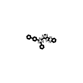 c1ccc(-c2ccc(-c3nc(-c4ccccc4)nc(-c4ncnc5c4sc4nc6ccccc6nc45)n3)cc2)cc1